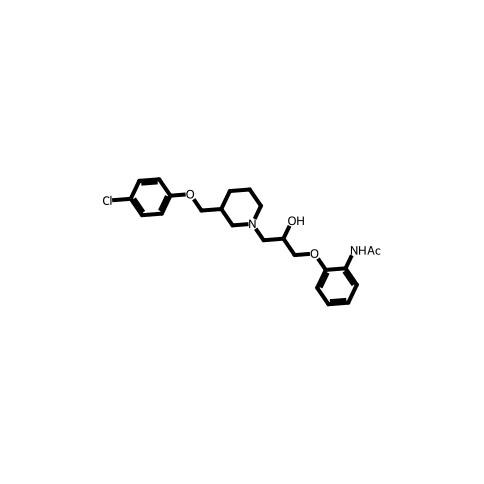 CC(=O)Nc1ccccc1OCC(O)CN1CCCC(COc2ccc(Cl)cc2)C1